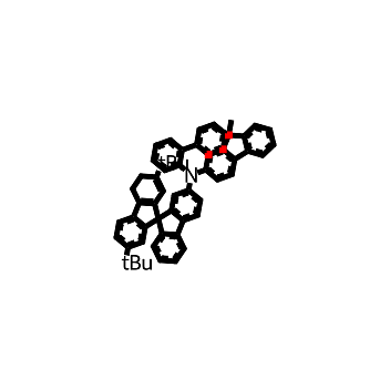 CC(C)(C)C1=CC2=C(CC1)c1ccc(C(C)(C)C)cc1C21c2ccccc2-c2ccc(N(c3ccc4c(c3)C(C)(C)c3ccccc3-4)c3ccccc3-c3ccccc3)cc21